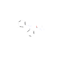 CCNC(=O)c1ccccc1Nc1cccc(C(F)(F)F)c1